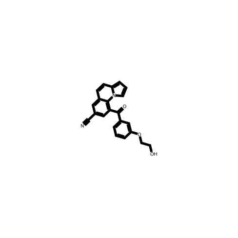 N#Cc1cc(C(=O)c2cccc(OCCO)c2)c2c(ccc3cccn32)c1